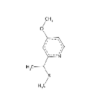 COc1ccnc(C(C)SC)c1